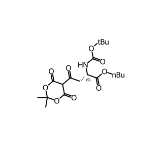 CCCCOC(=O)[C@H](CC(=O)C1C(=O)OC(C)(C)OC1=O)NC(=O)OC(C)(C)C